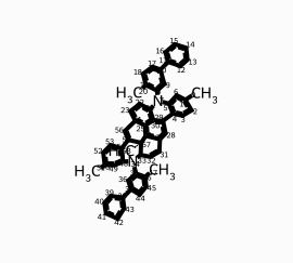 Cc1ccc2c(c1)N(c1cc(-c3ccccc3)ccc1C)c1ccc3c4c5c(cc-2c14)C=CC1N(c2cc(-c4ccccc4)ccc2C)c2cc(C)ccc2C(=C3)[C@@]51C